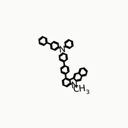 Cn1c2cc3ccccc3cc2c2c(-c3ccc(-c4ccc(N(c5ccccc5)c5ccc(-c6ccccc6)cc5)cc4)cc3)cccc21